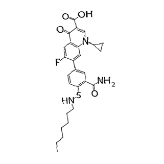 CCCCCCCNSc1ccc(-c2cc3c(cc2F)c(=O)c(C(=O)O)cn3C2CC2)cc1C(N)=O